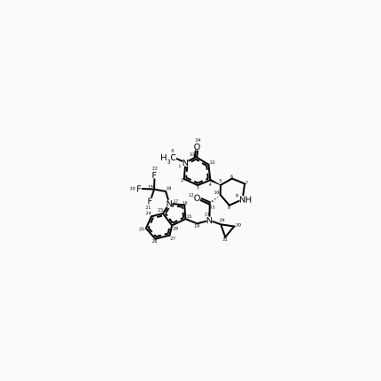 Cn1ccc([C@H]2CCNC[C@@H]2C(=O)N(Cc2cn(CC(F)(F)F)c3ccccc23)C2CC2)cc1=O